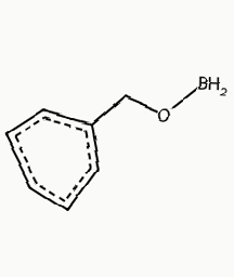 BOCc1ccccc1